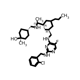 CCCC1C[C@@H](CNc2nc(NCc3ccccc3Cl)ncc2F)C[C@H]([C@H](C)NC[C@H]2CC[C@](C)(O)CC2)C1